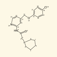 O=C(CC1CCCCC1)Nc1cc(COc2ccc(Cl)cc2)ccn1